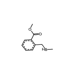 CBCc1ccccc1C(=O)OC